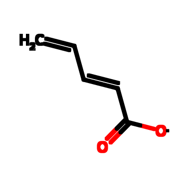 C=CC=CC([O])=O